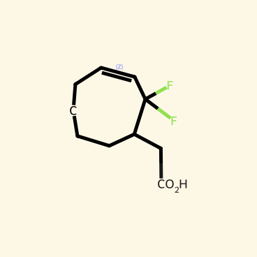 O=C(O)CC1CCCC/C=C\C1(F)F